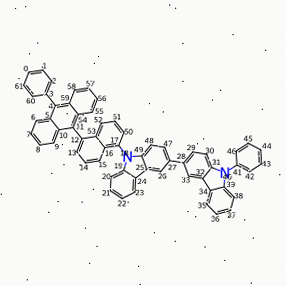 c1ccc(-c2c3ccccc3c(-c3cccc4c(-n5c6ccccc6c6cc(-c7ccc8c(c7)c7ccccc7n8-c7ccccc7)ccc65)cccc34)c3ccccc23)cc1